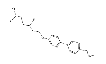 CCCCCCCCCCCc1ccc(-c2ncc(OCCC(F)CCC(F)CC)cn2)cc1